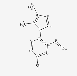 CC1=C(C)C(c2ccc(Cl)cc2C=O)C=C1